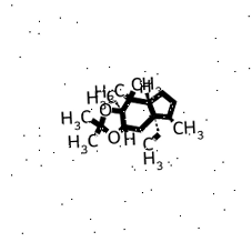 CC[C@]12C[C@@H]3OC(C)(C)O[C@@]3(C)C(C)(C)[C@@H]1CC[C@H]2C